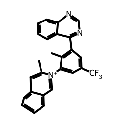 Cc1c(-c2ncnc3ccccc23)cc(C(F)(F)F)cc1-[n+]1cc2ccccc2cc1C